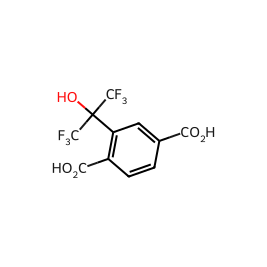 O=C(O)c1ccc(C(=O)O)c(C(O)(C(F)(F)F)C(F)(F)F)c1